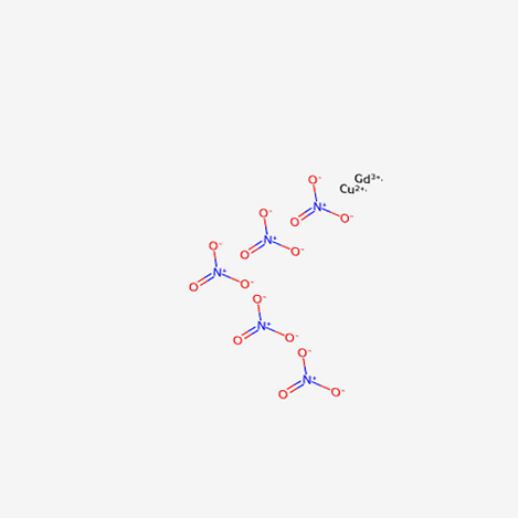 O=[N+]([O-])[O-].O=[N+]([O-])[O-].O=[N+]([O-])[O-].O=[N+]([O-])[O-].O=[N+]([O-])[O-].[Cu+2].[Gd+3]